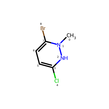 CN1NC(Cl)=CC=C1Br